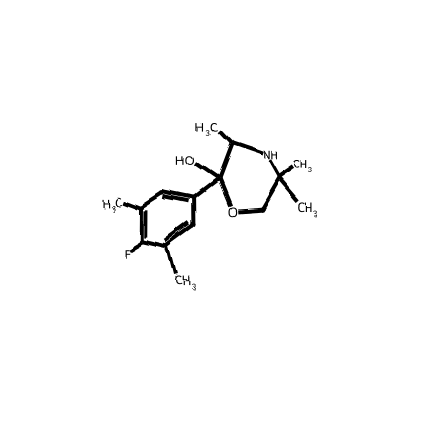 Cc1cc(C2(O)OCC(C)(C)NC2C)cc(C)c1F